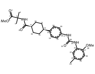 COC(=O)C(C)(C)NC(=O)[C@H]1CC[C@@H](c2ccc(NC(=O)Nc3cc(C)ccc3OC)cc2)CC1